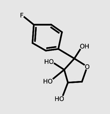 OC1COC(O)(c2ccc(F)cc2)C1(O)O